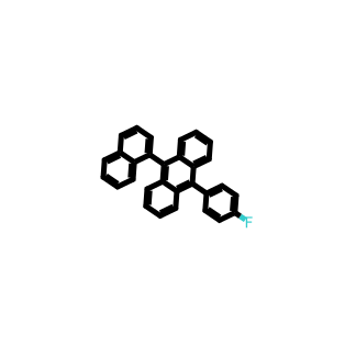 Fc1ccc(-c2c3ccccc3c(-c3cccc4ccccc34)c3ccccc23)cc1